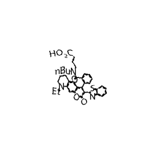 CCCCN(CCCC(=O)O)C(=O)c1ccccc1-c1c(-c2nc3ccccc3s2)c(=O)oc2cc3c(cc12)CCCN3CC